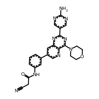 N#CCC(=O)Nc1cccc(-c2cnc3c(N4CCOCC4)nc(-c4cnc(N)nc4)nc3c2)c1